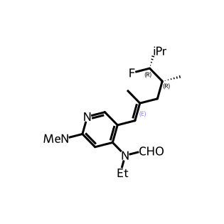 CCN(C=O)c1cc(NC)ncc1/C=C(\C)C[C@@H](C)[C@H](F)C(C)C